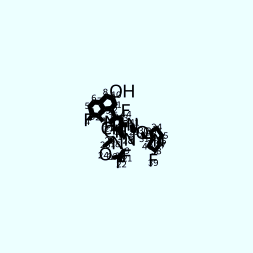 C#Cc1c(F)ccc2cc(O)cc(-c3ncc4c(N5CC(F)(F)COCC5C)nc(OC[C@@]56CCCN5C[C@H](F)C6)nc4c3F)c12